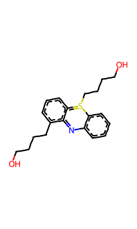 OCCCCc1cccc2c1=Nc1ccccc1S=2CCCCO